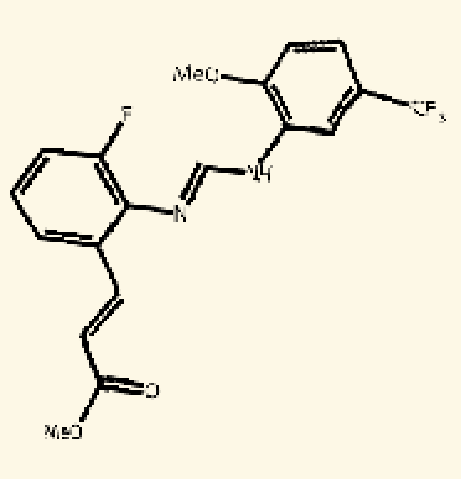 COC(=O)/C=C/c1cccc(F)c1N=CNc1cc(C(F)(F)F)ccc1OC